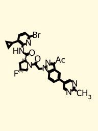 CC(=O)c1nn(CC(=O)N2C[C@H](F)C[C@H]2C(=O)Nc2nc(Br)ccc2C2CC2)c2ccc(-c3cnc(C)nc3)cc12